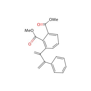 C=C(C(=C)c1cccc(C(=O)OC)c1C(=O)OC)c1ccccc1